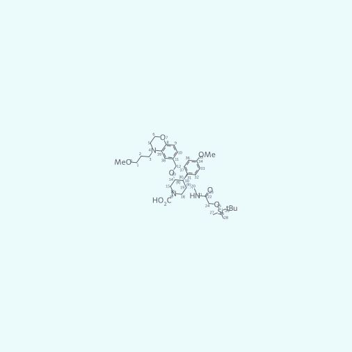 COCCCN1CCOc2ccc(CO[C@H]3CN(C(=O)O)C[C@@H](CNC(=O)CO[Si](C)(C)C(C)(C)C)[C@@H]3c3ccc(OC)cc3)cc21